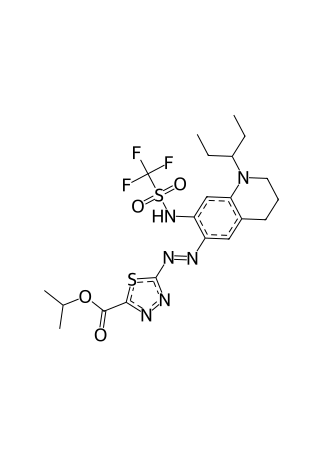 CCC(CC)N1CCCc2cc(N=Nc3nnc(C(=O)OC(C)C)s3)c(NS(=O)(=O)C(F)(F)F)cc21